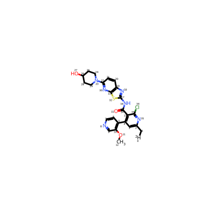 [2H]Cc1cc(-c2ccncc2OC)c(C(=O)Nc2nc3ccc(N4CCC(O)CC4)nc3s2)c(Cl)n1